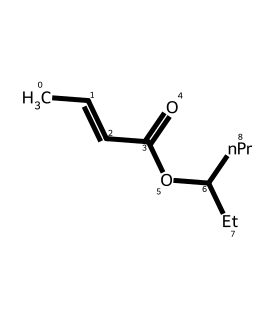 CC=CC(=O)OC(CC)CCC